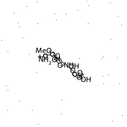 COc1ccc(S(=O)(=O)N2CCC3(CC2)C[C@H](NC[C@H](O)COc2cccc(S(=O)(=O)C4(CO)CC4)c2)CO3)cc1-c1ccc(C2(N)CC2)cc1